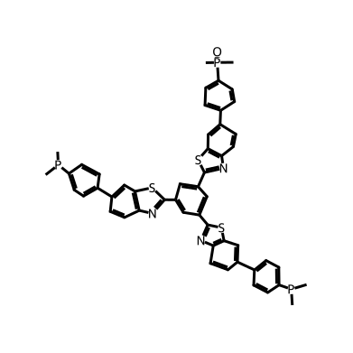 CP(C)c1ccc(-c2ccc3nc(-c4cc(-c5nc6ccc(-c7ccc(P(C)C)cc7)cc6s5)cc(-c5nc6ccc(-c7ccc(P(C)(C)=O)cc7)cc6s5)c4)sc3c2)cc1